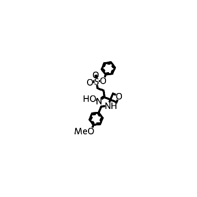 COc1ccc(CNC2(C(CCS(=O)(=O)Oc3ccccc3)=NO)COC2)cc1